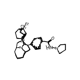 C=CCN1CCC2CCCC(C1)N2C(C1=CC(CC)=CCC1)c1ccc(C(=O)NN2CCCC2)cc1